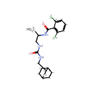 O=C(NCC(NC(=O)c1c(Cl)cccc1Cl)C(=O)O)NCC1CC2CCC1CC2